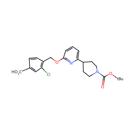 CC(C)(C)OC(=O)N1CCC(c2cccc(OCc3ccc(C(=O)O)cc3Cl)n2)CC1